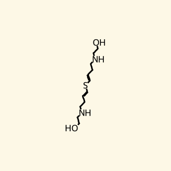 OCCNCCC=CSC=CCCNCCO